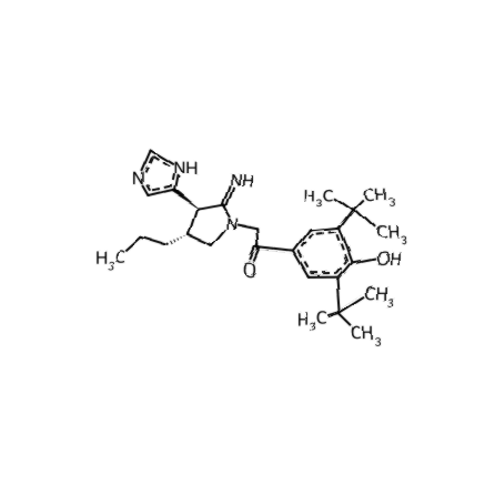 CCC[C@H]1CN(CC(=O)c2cc(C(C)(C)C)c(O)c(C(C)(C)C)c2)C(=N)[C@@H]1c1cnc[nH]1